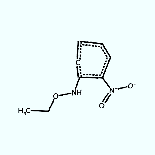 CCONc1ccccc1[N+](=O)[O-]